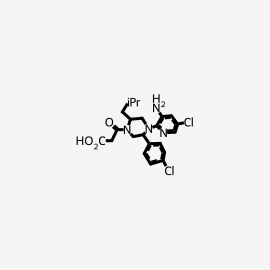 CC(C)CC1CN(c2ncc(Cl)cc2N)C(c2ccc(Cl)cc2)CN1C(=O)CC(=O)O